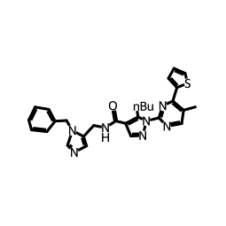 CCCCc1c(C(=O)NCc2cncn2Cc2ccccc2)cnn1-c1ncc(C)c(-c2cccs2)n1